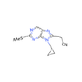 CSc1ncc2nc(CC#N)n(C3CC3)c2n1